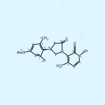 CCn1ccc(C)c(N2C[C@@H](c3c(C)cc(OC)cc3F)CC2=O)c1=O